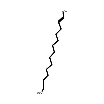 CCCCC=CCCCCCCCCCCCOC(C)=O